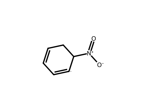 O=[N+]([O-])C1[C]=CC=CC1